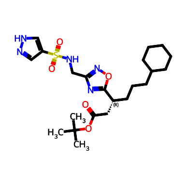 CC(C)(C)OC(=O)C[C@@H](CCCC1CCCCC1)c1nc(CNS(=O)(=O)c2cn[nH]c2)no1